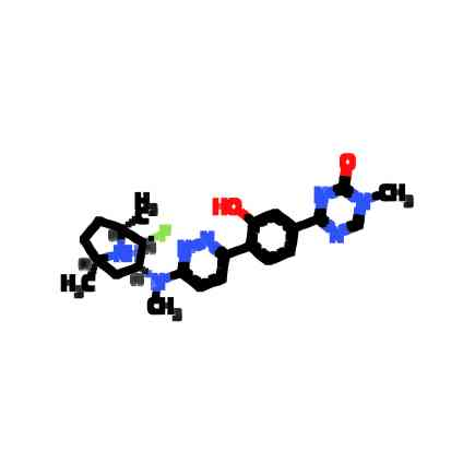 CN(c1ccc(-c2ccc(-c3ncn(C)c(=O)n3)cc2O)nn1)[C@@H]1C[C@@]2(C)CC[C@](C)(N2)[C@@H]1F